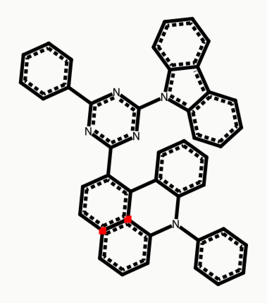 c1ccc(-c2nc(-c3ccccc3-c3ccccc3N(c3ccccc3)c3ccccc3)nc(-n3c4ccccc4c4ccccc43)n2)cc1